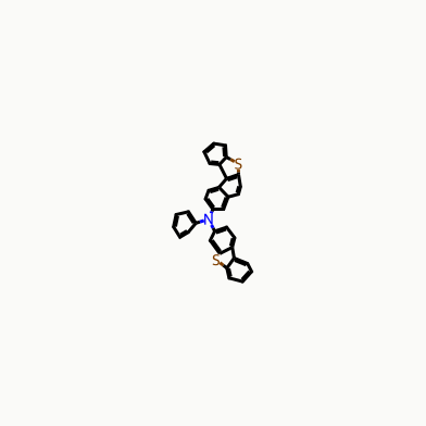 c1ccc(N(c2ccc3c(ccc4sc5ccccc5c43)c2)c2ccc3c(c2)sc2ccccc23)cc1